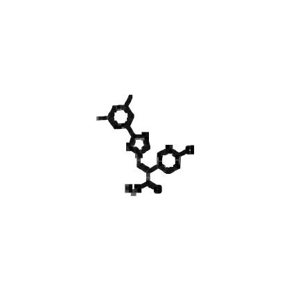 Cc1cc(C)cc(-c2ncn(/C=C(/C(N)=O)c3ccc(Cl)nc3)n2)c1